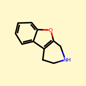 [CH]1NCCc2c1oc1ccccc21